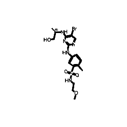 COCCNS(=O)(=O)c1cc(Nc2ncc(Br)c(N[C@H](C)CO)n2)ccc1C